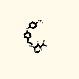 FC(F)c1ncnc(NCCc2ccc(Oc3ccc(C(F)(F)F)cc3)cc2)c1Cl